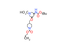 C=CCOC(=O)N1CCC(CO[C@@H]2C[C@H](NC(=O)OC(C)(C)C)CN(C(=O)O)C2)CC1